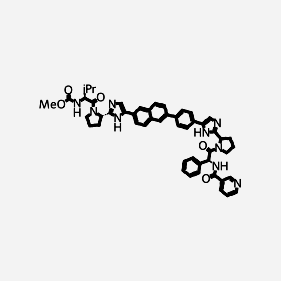 COC(=O)N[C@H](C(=O)N1CCC[C@H]1c1ncc(-c2ccc3cc(-c4ccc(-c5cnc(C6CCCN6C(=O)[C@H](NC(=O)c6cccnc6)c6ccccc6)[nH]5)cc4)ccc3c2)[nH]1)C(C)C